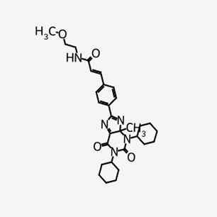 COCCNC(=O)/C=C/c1ccc(C2=NC3(C)C(=N2)C(=O)N(C2CCCCC2)C(=O)N3C2CCCCC2)cc1